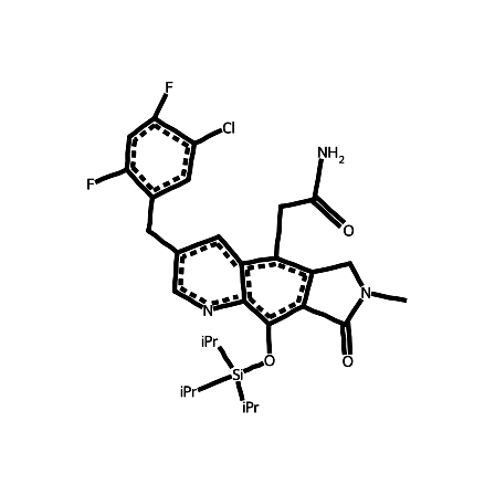 CC(C)[Si](Oc1c2c(c(CC(N)=O)c3cc(Cc4cc(Cl)c(F)cc4F)cnc13)CN(C)C2=O)(C(C)C)C(C)C